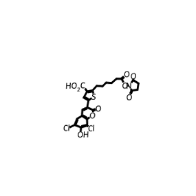 O=C(CCCCCc1sc(-c2cc3cc(Cl)c(O)c(Cl)c3oc2=O)cc1C(=O)O)ON1C(=O)CCC1=O